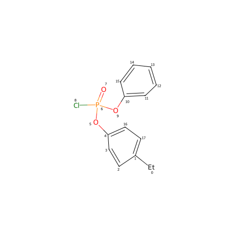 CCc1ccc(OP(=O)(Cl)Oc2ccccc2)cc1